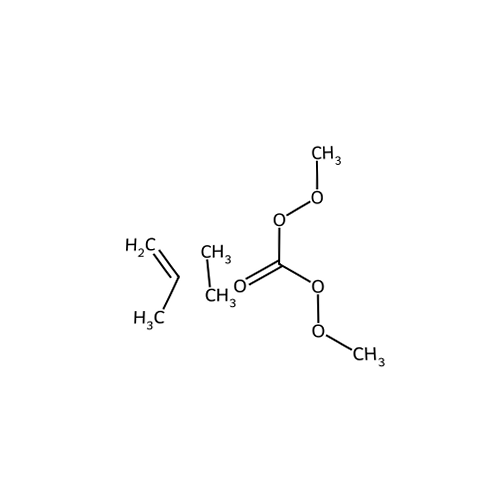 C=CC.CC.COOC(=O)OOC